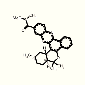 CON(C)C(=O)c1ccc2nc3c(nc2c1)c1c(c2ccccc23)OC(C)(C)[C@H]2CC[C@H](C)C[C@H]12